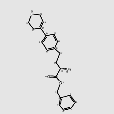 O=C(OCc1ccccc1)[C@H](O)CCc1ccc(C2=CCOCC2)cc1